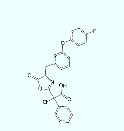 O=C1OC(C(Cl)(C(=O)O)c2ccccc2)=NC1=Cc1cccc(Oc2ccc(F)cc2)c1